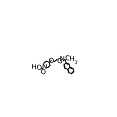 C/C(=N/OCCOC1CCN(C(=O)O)CC1)c1ccc2ccccc2c1